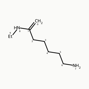 C=C(CCCCCN)NCC